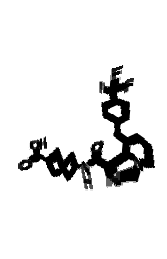 O=C(N[C@H]1CC2(C1)C[C@H](C(=O)O)C2)c1ncn2cccc(Cc3ccc(C(F)(F)F)cc3)c12